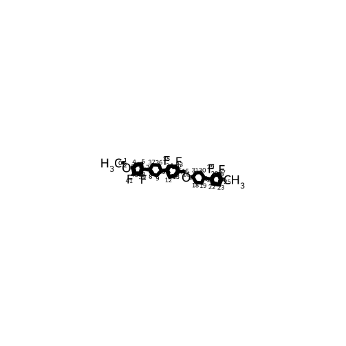 CCOc1ccc(C2=CCC(c3ccc(COC4CCC(c5ccc(C)c(F)c5F)CC4)c(F)c3F)CC2)c(F)c1F